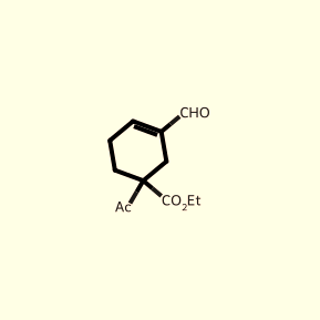 CCOC(=O)C1(C(C)=O)CCC=C(C=O)C1